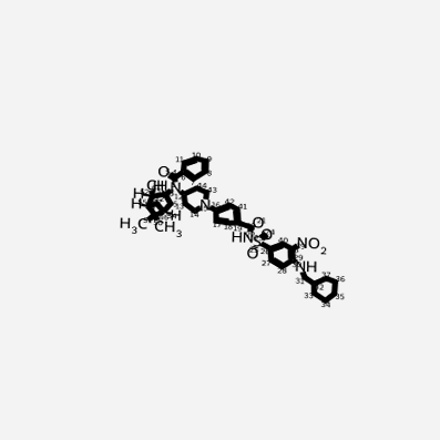 C[C@@H]1[C@@H](N(C(=O)c2ccccc2)C2CCN(c3ccc(C(=O)NS(=O)(=O)c4ccc(NCC5CCCCC5)c([N+](=O)[O-])c4)cc3)CC2)C[C@H]2C[C@@H]1C2(C)C